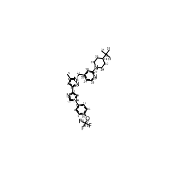 Cc1cc(-c2cn(-c3ccc(OC(F)(F)F)cc3)cn2)nn1Cc1ccnc(N2CCC(C(C)(C)C)CC2)c1